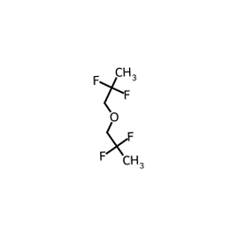 CC(F)(F)COCC(C)(F)F